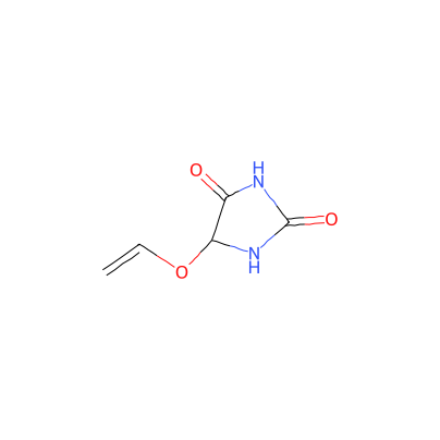 C=COC1NC(=O)NC1=O